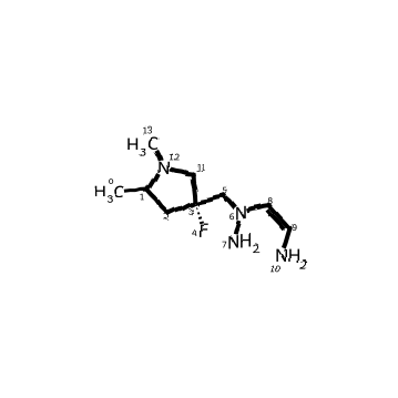 CC1C[C@](F)(CN(N)/C=C\N)CN1C